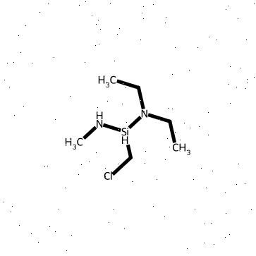 CCN(CC)[SiH](CCl)NC